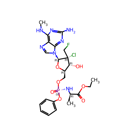 CCOC(=O)[C@@H](C)N[P@](=O)(OC[C@H]1O[C@@H](n2cnc3c(NC)nc(N)nc32)[C@@](Cl)(CF)[C@@H]1O)Oc1ccccc1